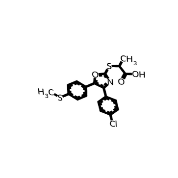 CSc1ccc(-c2oc(SC(C)C(=O)O)nc2-c2ccc(Cl)cc2)cc1